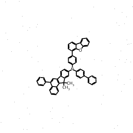 CC1(C)c2cc(N(c3ccc(-c4ccccc4)cc3)c3ccc(-c4cccc5c4oc4ccccc45)cc3)ccc2-c2cc(-c3ccccc3)c3ccccc3c21